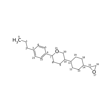 CCCc1ccc(C2CCC(C3CCC(C4CO4)CC3)CO2)cc1